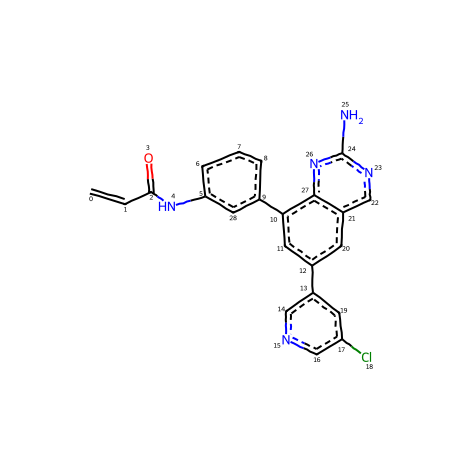 C=CC(=O)Nc1cccc(-c2cc(-c3cncc(Cl)c3)cc3cnc(N)nc23)c1